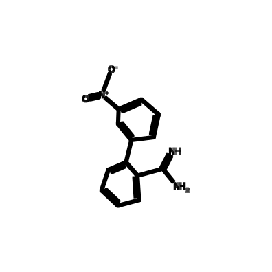 N=C(N)c1ccccc1-c1cccc([N+](=O)[O-])c1